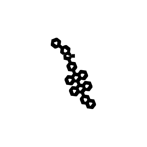 C1=CC2NC(c3ccc(-c4c5ccccc5c(-c5c6ccccc6c(-c6ccc7ccccc7c6)c6ccccc56)c5ccccc45)cc3)=CN2C=C1c1ccccc1